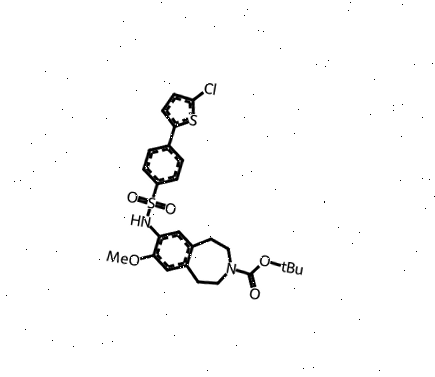 COc1cc2c(cc1NS(=O)(=O)c1ccc(-c3ccc(Cl)s3)cc1)CCN(C(=O)OC(C)(C)C)CC2